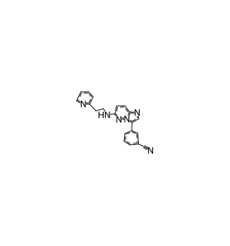 N#Cc1cccc(-c2cnc3ccc(NCCc4ccccn4)nn23)c1